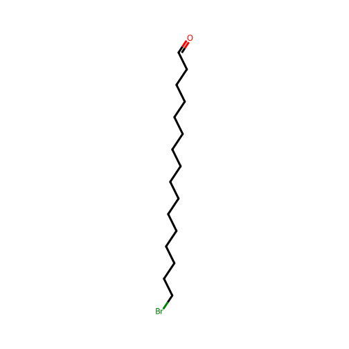 O=CCCCCCCCCCCCCCCCBr